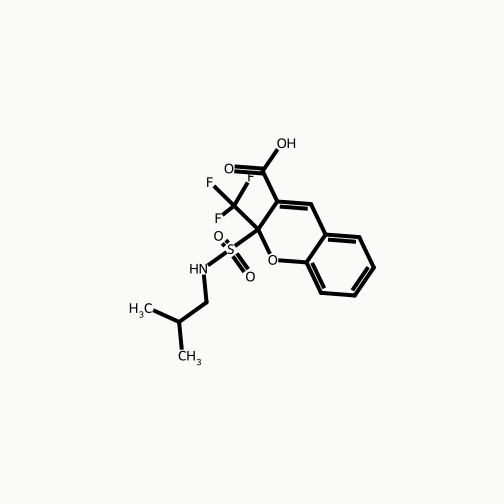 CC(C)CNS(=O)(=O)C1(C(F)(F)F)Oc2ccccc2C=C1C(=O)O